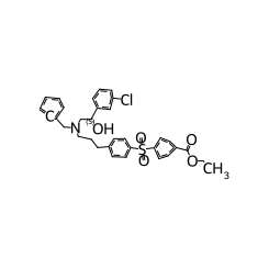 CCOC(=O)c1ccc(S(=O)(=O)c2ccc(CCCN(Cc3ccccc3)C[C@@H](O)c3cccc(Cl)c3)cc2)cc1